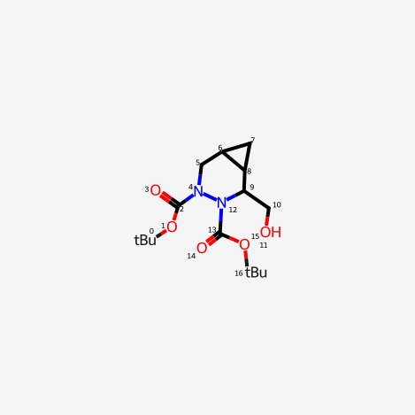 CC(C)(C)OC(=O)N1CC2CC2C(CO)N1C(=O)OC(C)(C)C